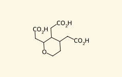 O=C(O)CC1CCOC(CC(=O)O)C1CC(=O)O